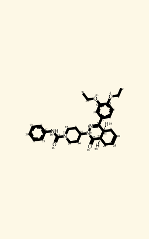 CCOc1ccc(C2=NN(C3CCN(C(=O)Nc4ccccc4)CC3)C(=O)[C@@H]3CC=CC[C@H]23)cc1OCC